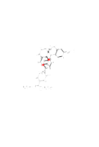 COC(OC)C1CCN(c2ccc(C3c4ccc(O)cc4COC34CCCc3ccccc34)cc2)CC1